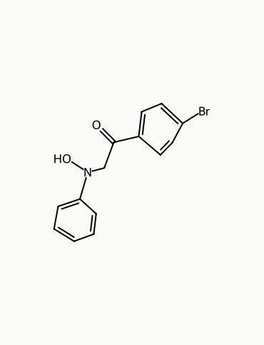 O=C(CN(O)c1ccccc1)c1ccc(Br)cc1